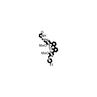 CCC1CCN(Cc2ncc(-c3cccc(-c4cccc(-c5cnc(CNC[C@@H]6CCC(=O)N6)c(OC)n5)c4Cl)c3Cl)nc2OC)CC1